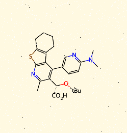 Cc1nc2sc3c(c2c(-c2ccc(N(C)C)nc2)c1[C@H](OC(C)(C)C)C(=O)O)CCCC3